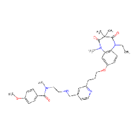 CCN1C(=O)C(C)(C)C(=O)N(C)c2cc(OCCCc3cc(CNCCN(C)C(=O)c4ccc(OC)cc4)ccn3)ccc21